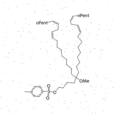 CCCCC/C=C\C/C=C\CCCCCCCCC(CCCCCCCC/C=C\C/C=C\CCCCC)(CCCCOS(=O)(=O)c1ccc(C)cc1)OC